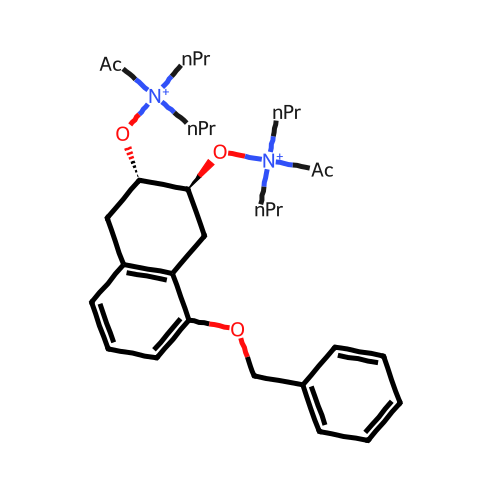 [CH2]C(=O)[N+](CCC)(CCC)O[C@H]1Cc2cccc(OCc3ccccc3)c2C[C@@H]1O[N+](CCC)(CCC)C([CH2])=O